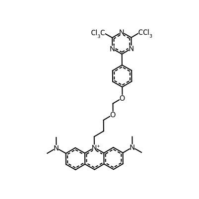 CN(C)c1ccc2cc3ccc(N(C)C)cc3[n+](CCCOCOc3ccc(-c4nc(C(Cl)(Cl)Cl)nc(C(Cl)(Cl)Cl)n4)cc3)c2c1